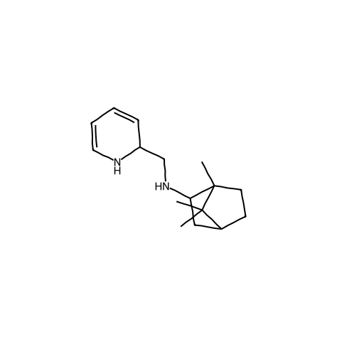 CC1(C)C2CCC1(C)C(NCC1C=CC=CN1)C2